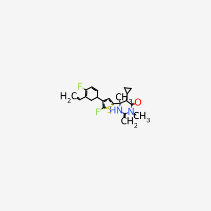 C=CC1=C(F)C=CC(c2cc([C@@]3(C)NC(=C)N(C)C(=O)C3C3CC3)sc2F)C1